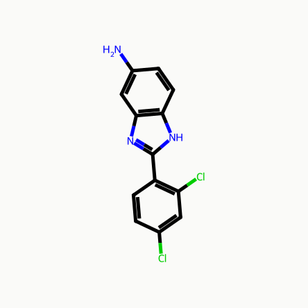 Nc1ccc2[nH]c(-c3ccc(Cl)cc3Cl)nc2c1